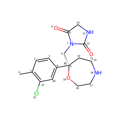 Cc1ccc([C@@]2(CN3C(=O)CNC3=O)CCNCCO2)cc1Cl